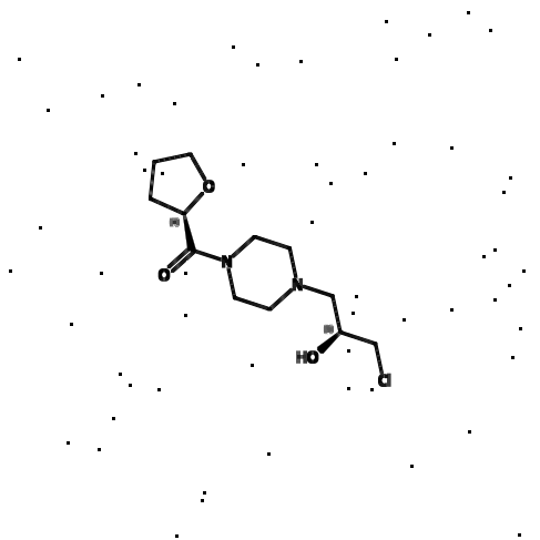 O=C([C@H]1CCCO1)N1CCN(C[C@H](O)CCl)CC1